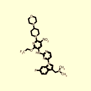 CN(C)Cc1cn(-c2ccnc(Nc3cc([N+](=O)[O-])c(N4CCC(N5CCOCC5)CC4)nc3OCC(F)(F)F)n2)c2cc(F)ccc12